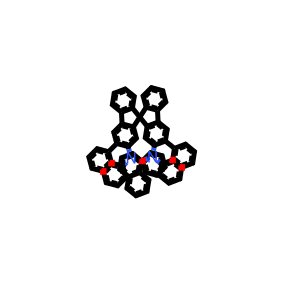 c1ccc(-c2cc3c(cc2N(c2ccccc2)c2ccccc2)C2(c4ccccc4-3)c3ccccc3-c3cc(-c4ccccc4)c(N(c4ccccc4)c4cccc5ccccc45)cc32)cc1